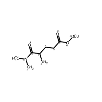 CN(C)C(=O)C(N)CCC(=O)OC(C)(C)C